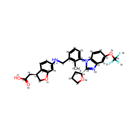 Cc1c(CNc2ccc3c(c2)OC[C@H]3CC(=O)O)cccc1-n1c([C@H]2CCCO2)nc2cc(OC(F)(F)F)ccc21